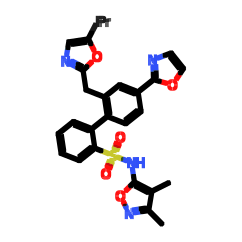 Cc1noc(NS(=O)(=O)c2ccccc2-c2ccc(-c3ncco3)cc2Cc2ncc(C(C)C)o2)c1C